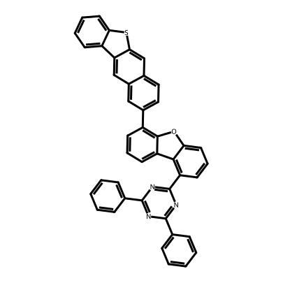 c1ccc(-c2nc(-c3ccccc3)nc(-c3cccc4oc5c(-c6ccc7cc8sc9ccccc9c8cc7c6)cccc5c34)n2)cc1